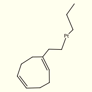 CC[CH2][Pt][CH2]CC1=CCCC=CCC1